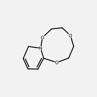 C1=CCN2OCCOCCOC2=C1